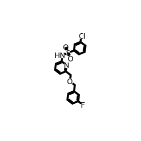 O=S(=O)(Nc1cccc(COCc2cccc(F)c2)n1)c1cccc(Cl)c1